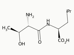 CC(C)C[C@H](NC(=O)[C@@H](N)[C@H](C)O)C(=O)O